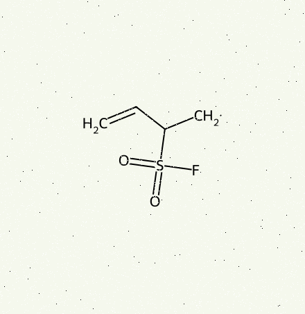 [CH2]C(C=C)S(=O)(=O)F